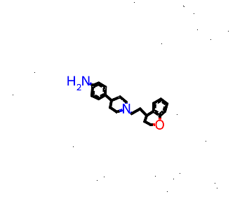 Nc1ccc(C2CCN(CCC3CCOc4ccccc43)CC2)cc1